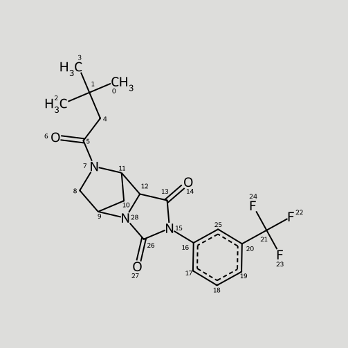 CC(C)(C)CC(=O)N1CC2CC1C1C(=O)N(c3cccc(C(F)(F)F)c3)C(=O)N21